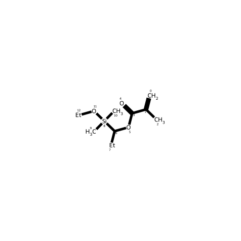 C=C(C)C(=O)OC(CC)[Si](C)(C)OCC